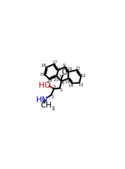 CNCC(O)CC12CCC(=C3C=CCC=C31)c1ccccc12